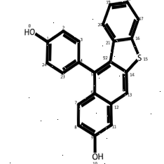 Oc1ccc(-c2c3ccc(O)cc3cc3sc4ccccc4c23)cc1